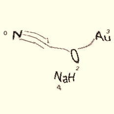 N#C[O][Au].[NaH]